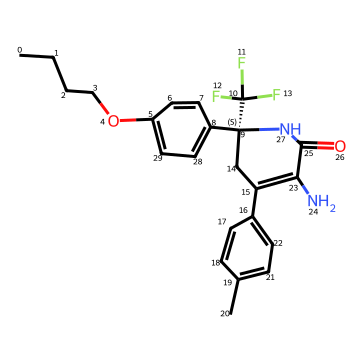 CCCCOc1ccc([C@]2(C(F)(F)F)CC(c3ccc(C)cc3)=C(N)C(=O)N2)cc1